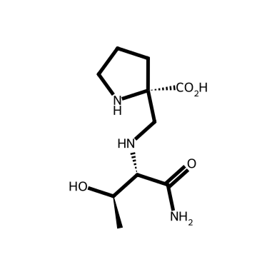 C[C@@H](O)[C@H](NC[C@]1(C(=O)O)CCCN1)C(N)=O